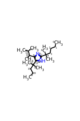 CCCCC(C)(C)c1nc(C(C)C(C)C)c(C(C)(C)CCC)[nH]1